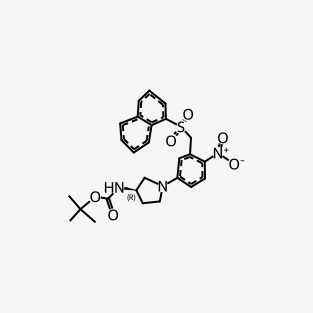 CC(C)(C)OC(=O)N[C@@H]1CCN(c2ccc([N+](=O)[O-])c(CS(=O)(=O)c3cccc4ccccc34)c2)C1